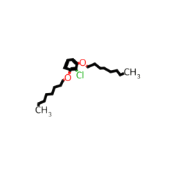 CCCCCCCCOc1cccc(OCCCCCCCC)c1Cl